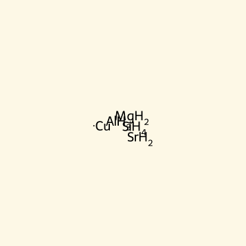 [AlH3].[Cu].[MgH2].[SiH4].[SrH2]